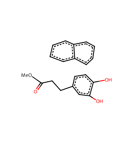 COC(=O)CCc1ccc(O)c(O)c1.c1ccc2ccccc2c1